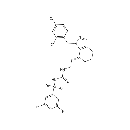 O=C(NCC=C1CCCc2cnn(Cc3ccc(Cl)cc3Cl)c21)NS(=O)(=O)c1cc(F)cc(F)c1